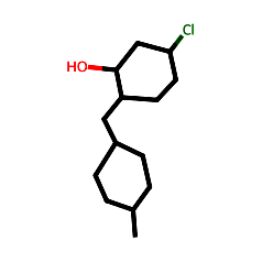 CC1CCC(CC2CCC(Cl)CC2O)CC1